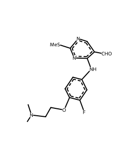 CSc1ncc(C=O)c(Nc2ccc(OCCN(C)C)c(F)c2)n1